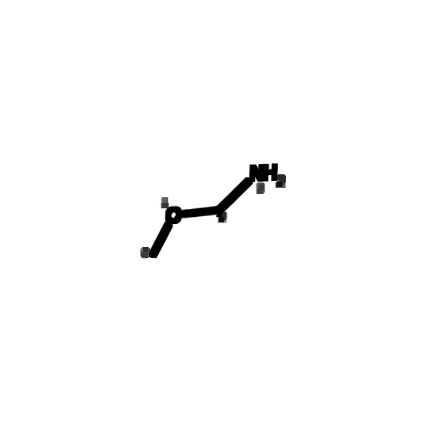 CO[CH]N